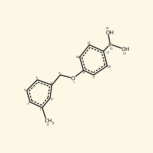 Cc1cccc(COc2ccc(B(O)O)cc2)c1